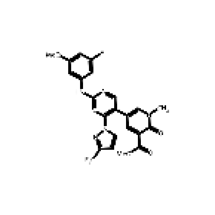 COC(=O)c1cc(-c2cnc(Nc3cc(F)cc(OC)c3)nc2-n2ccc(C(F)(F)F)n2)cn(C)c1=O